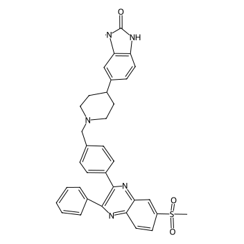 CS(=O)(=O)c1ccc2nc(-c3ccccc3)c(-c3ccc(CN4CCC(c5ccc6c(c5)[N]C(=O)N6)CC4)cc3)nc2c1